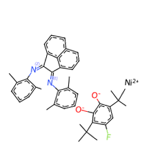 CC(C)(C)c1cc(F)c(C(C)(C)C)c([O-])c1[O-].Cc1cccc(C)c1/N=C1\C(=N\c2c(C)cccc2C)c2cccc3cccc1c23.[Ni+2]